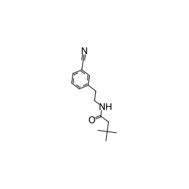 CC(C)(C)CC(=O)NCCc1cccc(C#N)c1